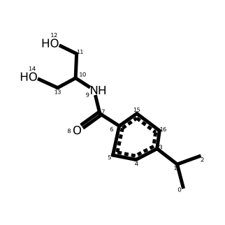 CC(C)c1ccc(C(=O)NC(CO)CO)cc1